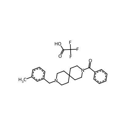 Cc1cccc(CN2CCC3(CC2)CCN(C(=O)c2ccccc2)CC3)c1.O=C(O)C(F)(F)F